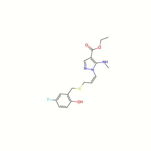 CCOC(=O)c1cnn(/C=C\CSCc2cc(F)ccc2O)c1NC